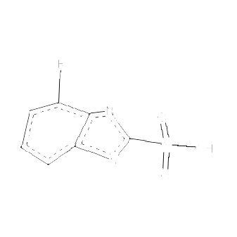 CS(=O)(=O)c1nc2c(F)cccc2s1